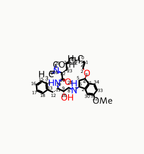 C=CCO[C@@H]1C[C@H](NC[C@H](O)[C@H](Cc2ccccc2)NC(=O)[C@H](CC=C)N(C)C(=O)O)c2cc(OC)ccc21